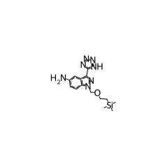 C[Si](C)(C)CCOCn1nc(-c2nnn[nH]2)c2cc(N)ccc21